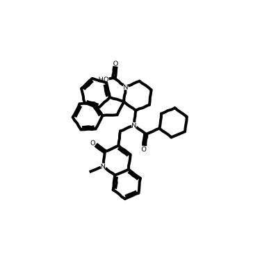 Cn1c(=O)c(CN(C(=O)C2CCCCC2)C2CCCN(C(=O)O)C2(Cc2ccccc2)c2ccccc2)cc2ccccc21